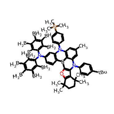 Bc1c(B)c(B)c(N(c2ccc3c(c2)N(c2ccc(S(C)(C)C)cc2)c2cc(C)cc4c2B3c2oc3c(c2N4c2ccc(C(C)(C)C)cc2)C(C)(C)CCC3(C)C)c2c(B)c(B)c(B)c(B)c2B)c(B)c1B